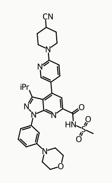 CC(C)c1nn(-c2cccc(N3CCOCC3)c2)c2nc(C(=O)NS(C)(=O)=O)cc(-c3ccc(N4CCC(C#N)CC4)nc3)c12